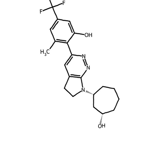 Cc1cc(C(F)(F)F)cc(O)c1-c1cc2c(nn1)N([C@@H]1CCCC[C@H](O)C1)CC2